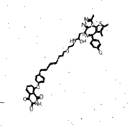 Cc1sc2c(c1C)C(c1ccc(Cl)cc1)=N[C@@H](CC(O)NCCOCCCCCCCc1ccc(Oc3cccc4c3C(=O)NC(=O)C4=O)cc1)c1nnc(C)n1-2